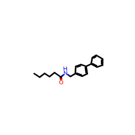 CCCCCC(=O)NCc1ccc(-c2ccccc2)cc1